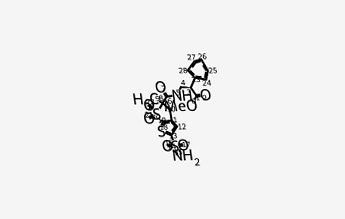 COC(=O)[C@@H](CNC(=O)C1(C)Cc2cc(S(N)(=O)=O)sc2S1(=O)=O)c1ccccc1